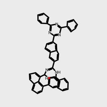 c1ccc(-c2nc(-c3ccccc3)nc(-c3ccc4cc(C5=NC(c6cccc7cccc(-c8ccccc8)c67)NC(c6ccccc6)N5)ccc4c3)n2)cc1